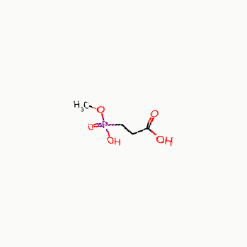 COP(=O)(O)CCC(=O)O